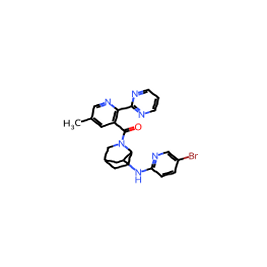 Cc1cnc(-c2ncccn2)c(C(=O)N2CC3CCC2C(Nc2ccc(Br)cn2)C3)c1